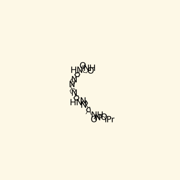 Cc1cc(-c2ccnc(Nc3ccc(N4CCC(CN5CCN(c6ccc(NC7CCC(=O)NC7=O)cc6)CC5)CC4)cc3)n2)ccc1CNC(=O)N1CC(OC(C)C)C1